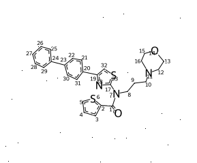 O=C(c1cccs1)N(CCCN1CCOCC1)c1nc(-c2ccc(-c3ccccc3)cc2)cs1